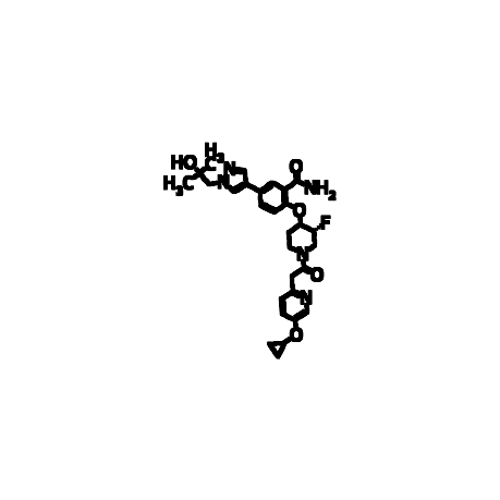 CC(C)(O)Cn1cc(-c2ccc(OC3CCN(C(=O)Cc4ccc(OC5CC5)cn4)C[C@H]3F)c(C(N)=O)c2)cn1